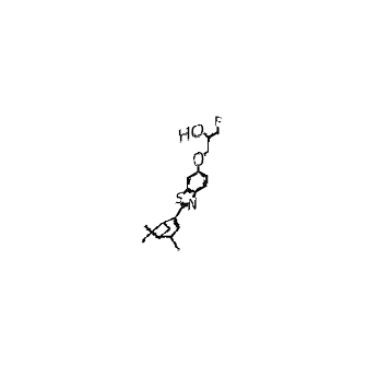 CC1C=C(c2nc3ccc(OCC(O)CF)cc3s2)C2CC1C2(C)C